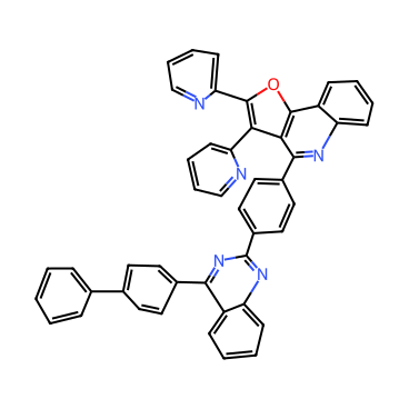 c1ccc(-c2ccc(-c3nc(-c4ccc(-c5nc6ccccc6c6oc(-c7ccccn7)c(-c7ccccn7)c56)cc4)nc4ccccc34)cc2)cc1